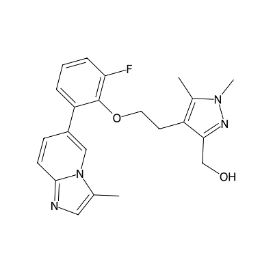 Cc1c(CCOc2c(F)cccc2-c2ccc3ncc(C)n3c2)c(CO)nn1C